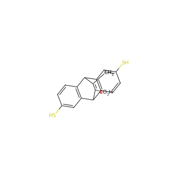 CC1=C(C(=O)O)C2c3ccc(S)cc3C1c1ccc(S)cc12